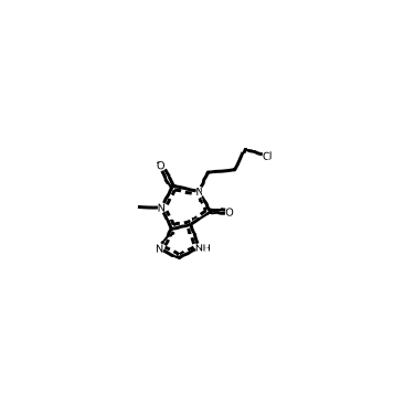 Cn1c(=O)n(CCCCl)c(=O)c2[nH]cnc21